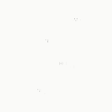 CSCCNc1ccc(N)cc1.Cl.Cl